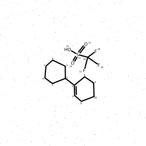 C1=C(C2CCCCC2)CCCC1.O=S(=O)(O)C(F)(F)F